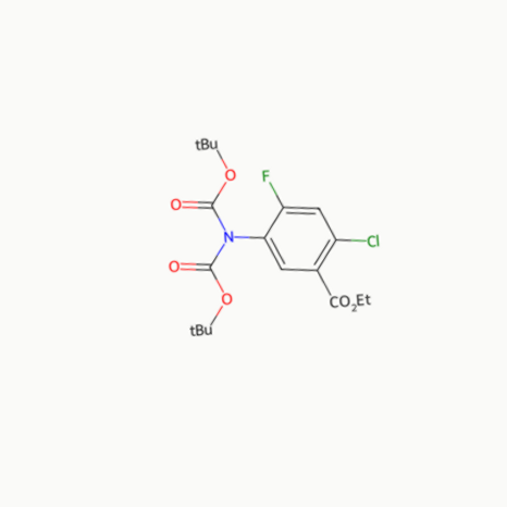 CCOC(=O)c1cc(N(C(=O)OC(C)(C)C)C(=O)OC(C)(C)C)c(F)cc1Cl